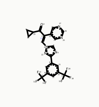 O=C(/C(=C/n1cnc(-c2cc(C(F)(F)F)cc(C(F)(F)F)c2)n1)c1cncnc1)C1CC1